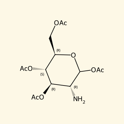 CC(=O)OC[C@H]1OC(OC(C)=O)[C@H](N)[C@@H](OC(C)=O)[C@@H]1OC(C)=O